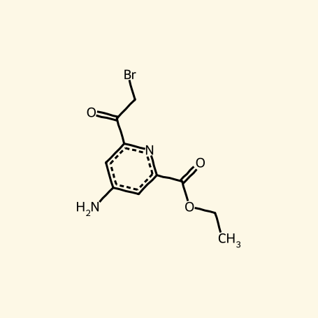 CCOC(=O)c1cc(N)cc(C(=O)CBr)n1